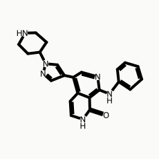 O=c1[nH]ccc2c(-c3cnn(C4CCNCC4)c3)cnc(Nc3ccccc3)c12